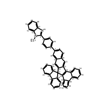 CCn1c(-c2ccc(-c3ccc4cc5c(cc4c3)C3(c4ccccc4-c4ccccc43)c3c-5c4ccccc4c4ccccc34)cc2)nc2ccccc21